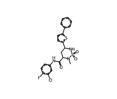 CN1C(C(=O)Nc2ccc(F)c(Cl)c2)CC(c2ccc(-c3ccccc3)s2)NS1(=O)=O